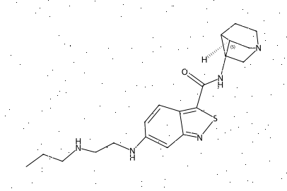 CCCNCCNc1ccc2c(C(=O)N[C@@H]3CN4CCC3CC4)snc2c1